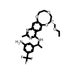 CCOC[C@H]1COCCOc2cc3nc(C)nc(NC(C)c4cc(N)cc(C(F)(F)F)c4)c3cc2O1